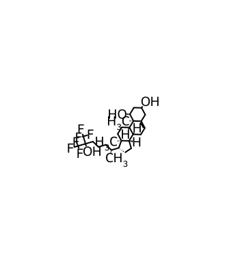 C[C@H](CCCC(O)(C(F)(F)F)C(F)(F)F)[C@H]1CC[C@H]2[C@@H]3CC=C4CC(O)C[C@H](O)[C@]4(C)[C@H]3CC[C@]12C